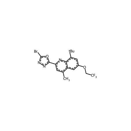 Cc1cc(-c2nnc(Br)o2)nc2c(C(C)(C)C)cc(OCC(F)(F)F)cc12